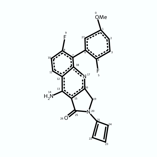 COc1ccc(F)c(-c2c(F)ccc3c(N)c4c(nc23)CN(C2=CC=C2)C4=O)c1